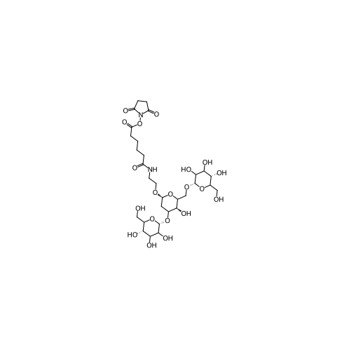 O=C(CCCCC(=O)ON1C(=O)CCC1=O)NCCO[C@@H]1CC(O[C@H]2OC(CO)[C@@H](O)C(O)C2O)[C@H](O)C(CO[C@H]2OC(CO)[C@@H](O)C(O)C2O)O1